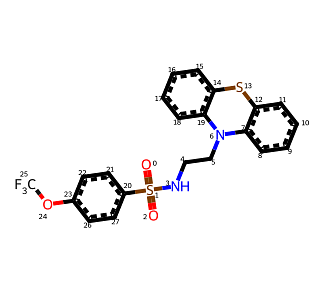 O=S(=O)(NCCN1c2ccccc2Sc2ccccc21)c1ccc(OC(F)(F)F)cc1